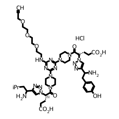 C#CCOCCOCCOCCNc1nc(N2CCN(C(=O)[C@H](CCC(=O)O)n3cc(C(N)Cc4ccc(O)cc4)nn3)CC2)nc(N2CCN(C(=O)[C@H](CCC(=O)O)n3cc(C(N)CC(C)C)nn3)CC2)n1.Cl